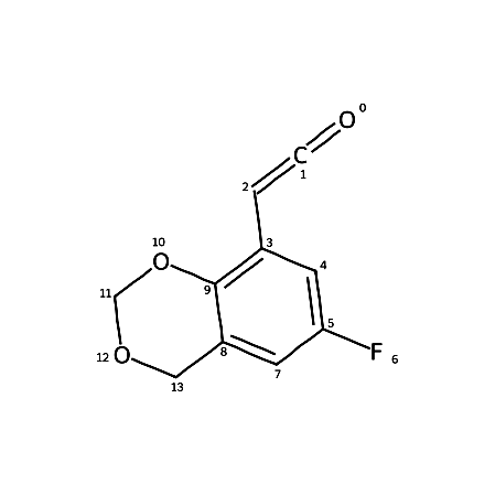 O=C=Cc1cc(F)cc2c1OCOC2